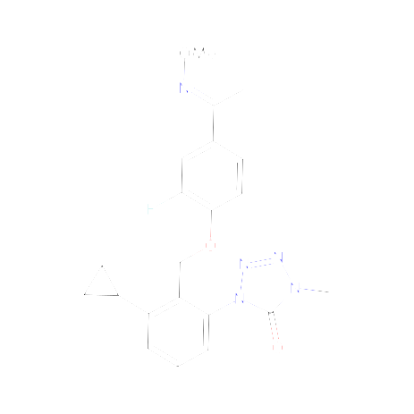 CON=C(C)c1ccc(OCc2c(C3CC3)cccc2-n2nnn(C)c2=O)c(F)c1